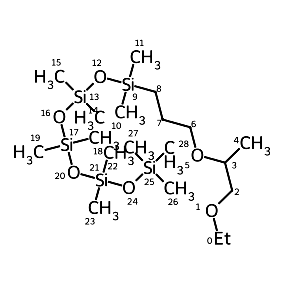 [CH2]COCC(C)OCCC[Si](C)(C)O[Si](C)(C)O[Si](C)(C)O[Si](C)(C)O[Si](C)(C)C